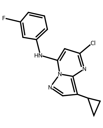 Fc1cccc(Nc2cc(Cl)nc3c(C4CC4)cnn23)c1